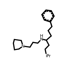 CC(C)CCC(CCCc1ccccc1)NCCCN1CCCCC1